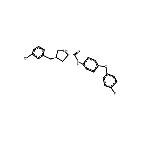 O=C(Nc1ccc(Oc2ccc(F)cc2)cc1)[C@@H]1C[C@@H](Cc2cccc(Cl)c2)CN1